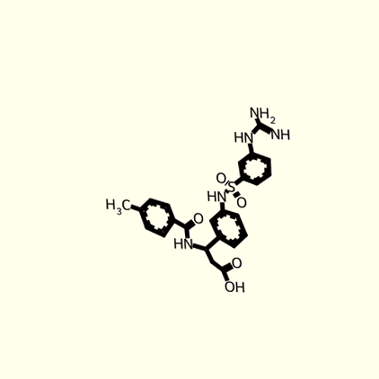 Cc1ccc(C(=O)NC(CC(=O)O)c2cccc(NS(=O)(=O)c3cccc(NC(=N)N)c3)c2)cc1